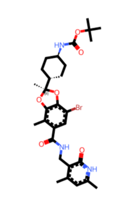 Cc1cc(C)c(CNC(=O)c2cc(Br)c3c(c2C)O[C@@](C)([C@H]2CC[C@H](NC(=O)OC(C)(C)C)CC2)O3)c(=O)[nH]1